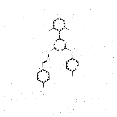 FC(F)(F)Oc1ccc(/C=N/Nc2nc(Nc3ccc(Cl)nc3)nc(-c3c(Cl)cccc3Cl)n2)cc1